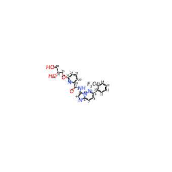 O=C(Nc1cnc2ccc(-c3ccccc3C(F)(F)F)nn12)c1cccc(OCC(O)CO)n1